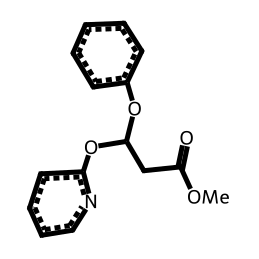 COC(=O)CC(Oc1ccccc1)Oc1ccccn1